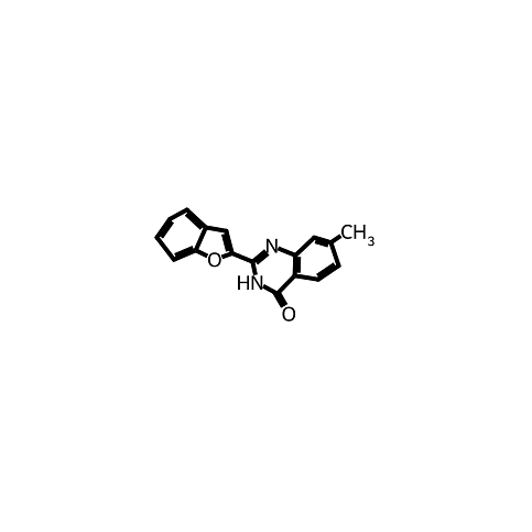 Cc1ccc2c(=O)[nH]c(-c3cc4ccccc4o3)nc2c1